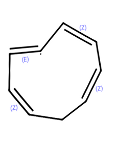 [C]1=C/C=C\C/C=C\C=C/1